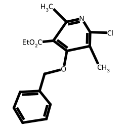 CCOC(=O)c1c(C)nc(Cl)c(C)c1OCc1ccccc1